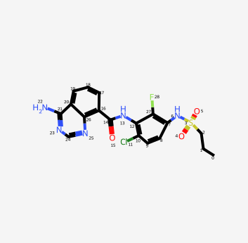 CCCS(=O)(=O)Nc1ccc(Cl)c(NC(=O)c2cccc3c(N)ncnc23)c1F